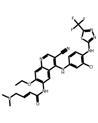 CCOc1cc2ncc(C#N)c(Nc3ccc(Nc4nnc(C(F)(F)F)s4)c(Cl)c3)c2cc1NC(=O)/C=C/CN(C)C